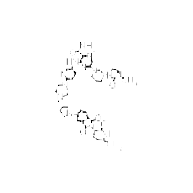 C=C1CCC(N2C(=O)c3ccc(N4CC[C@H](CN5CCN(c6ccc(Nc7nc(N8CCC[C@@H](N9CCN(C)C9=O)C8)cnc7C(N)=O)cn6)CC5)C4)cc3C2=O)C(=O)N1